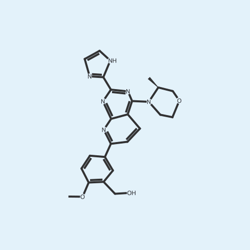 COc1ccc(-c2ccc3c(N4CCOC[C@@H]4C)nc(-c4ncc[nH]4)nc3n2)cc1CO